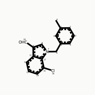 Cc1cccc(Cn2cc(C=O)c3cccc(Cl)c32)c1